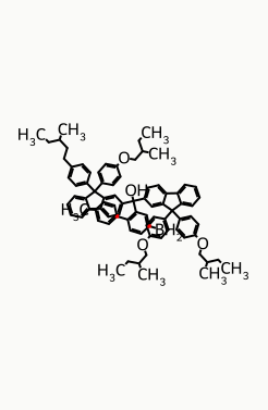 Bc1ccc(-c2ccc(C)cc2)c(C(O)(c2ccc3c(c2)C(c2ccc(CCC(C)CC)cc2)(c2ccc(OCC(C)CC)cc2)c2ccccc2-3)c2ccc3c(c2)C(c2ccc(OCC(C)CC)cc2)(c2ccc(OCC(C)CC)cc2)c2ccccc2-3)c1